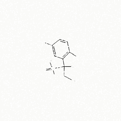 Cc1ccc(C)c(C(N)(CO)P(=O)(O)O)c1